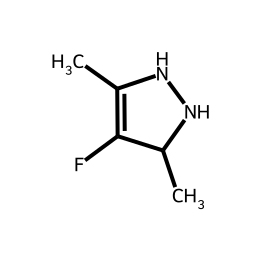 CC1=C(F)C(C)NN1